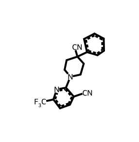 N#Cc1ccc(C(F)(F)F)nc1N1CCC(C#N)(c2ccccc2)CC1